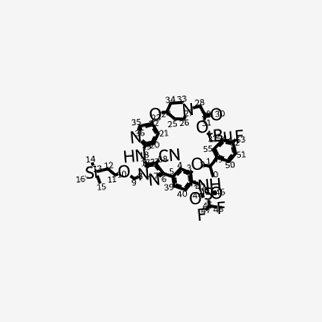 CC(Oc1cc(-c2nn(COCC[Si](C)(C)C)c(Nc3ccc(OC4CCN(CC(=O)OC(C)(C)C)CC4)cn3)c2C#N)ccc1NS(=O)(=O)C(F)F)c1ccc(F)cc1